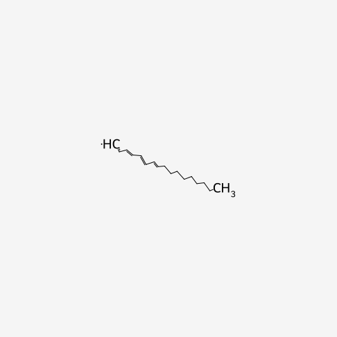 [CH]=C/C=C/C=C/C=C/CCCCCCCCC